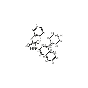 O=S(=O)(Cc1ccccc1)Nc1cc2cccnc2c(N2CCNCC2)n1